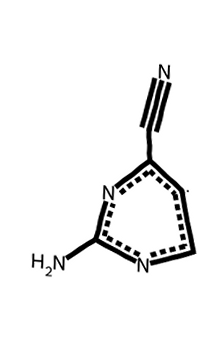 N#Cc1[c]cnc(N)n1